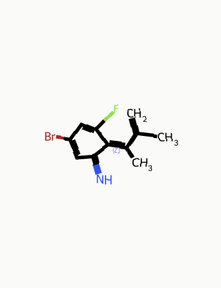 C=C(C)/C(C)=C1/C(=N)C=C(Br)C=C1F